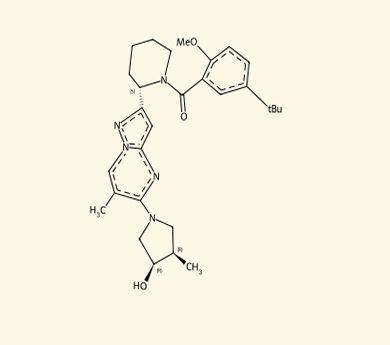 COc1ccc(C(C)(C)C)cc1C(=O)N1CCCC[C@H]1c1cc2nc(N3C[C@@H](C)[C@@H](O)C3)c(C)cn2n1